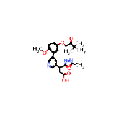 COc1ccc(OCC(=O)C(C)(C)C)cc1-c1cncc(C(CC(=O)O)c2nnc(C)o2)c1